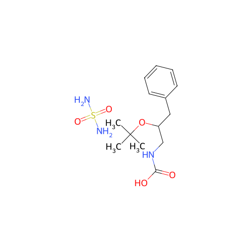 CC(C)(C)OC(CNC(=O)O)Cc1ccccc1.NS(N)(=O)=O